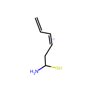 C=C/C=C\CC(N)S